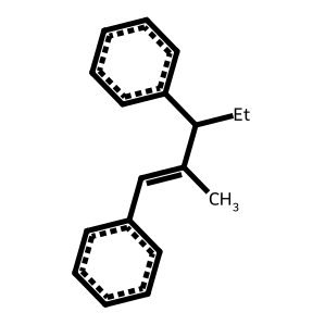 CCC(/C(C)=C/c1ccccc1)c1ccccc1